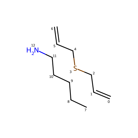 C=CCSCC=C.CCCCCN